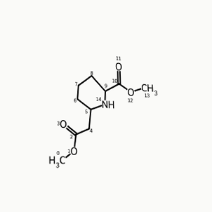 COC(=O)CC1CCCC(C(=O)OC)N1